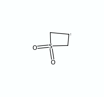 O=S1(=O)C[C]C1